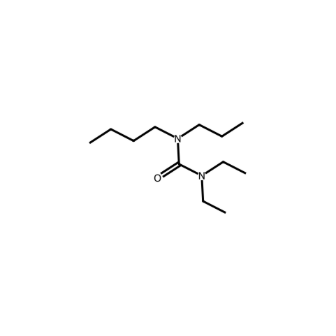 CCCCN(CCC)C(=O)N(CC)CC